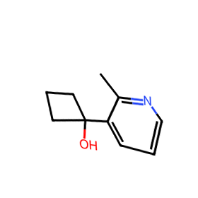 Cc1ncccc1C1(O)CCC1